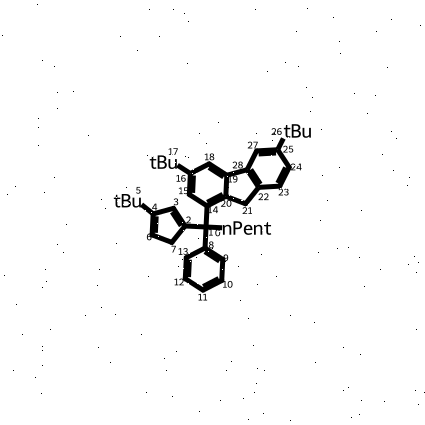 CCCCCC(C1=CC(C(C)(C)C)=CC1)(c1ccccc1)c1cc(C(C)(C)C)cc2c1Cc1ccc(C(C)(C)C)cc1-2